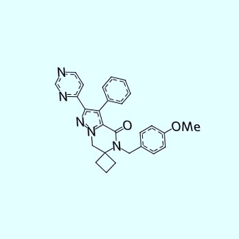 COc1ccc(CN2C(=O)c3c(-c4ccccc4)c(-c4ccncn4)nn3CC23CCC3)cc1